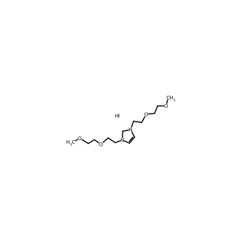 COCCOCCN1C=CN(CCOCCOC)C1.I